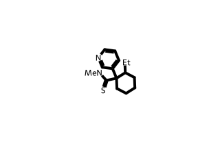 CCC1CCCCC1(C(=S)NC)c1cccnc1